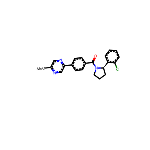 COc1cnc(-c2ccc(C(=O)N3CCC[C@@H]3c3ccccc3Cl)cc2)cn1